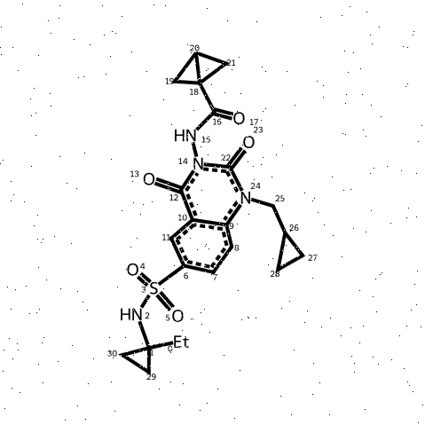 CCC1(NS(=O)(=O)c2ccc3c(c2)c(=O)n(NC(=O)C24CC2C4)c(=O)n3CC2CC2)CC1